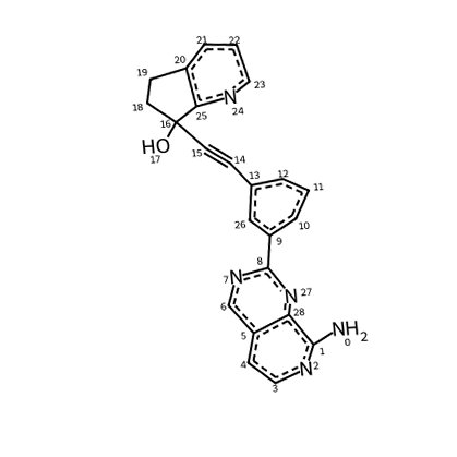 Nc1nccc2cnc(-c3cccc(C#CC4(O)CCc5cccnc54)c3)nc12